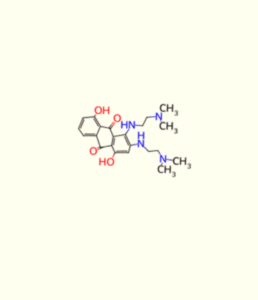 CN(C)CCNc1cc(O)c2c(c1NCCN(C)C)C(=O)c1c(O)cccc1C2=O